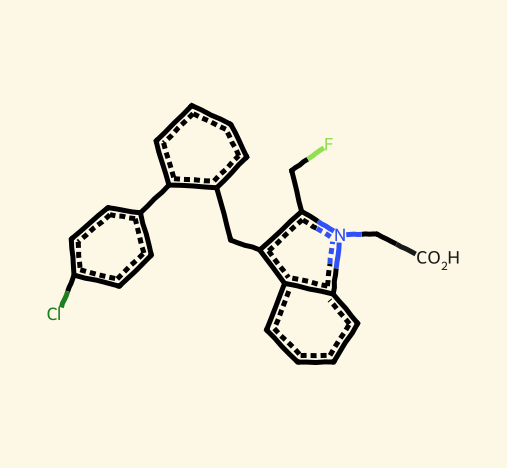 O=C(O)Cn1c(CF)c(Cc2ccccc2-c2ccc(Cl)cc2)c2ccccc21